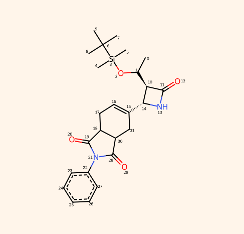 CC(O[Si](C)(C)C(C)(C)C)[C@H]1C(=O)N[C@@H]1C1=CCC2C(=O)N(c3ccccc3)C(=O)C2C1